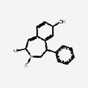 CN1CC(c2ccccc2)C2=CC(O)C=CC2=CC1Cl